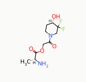 C[C@@H](N)C(=O)OCC(=O)N1CC[C@H](O)C(F)(F)C1